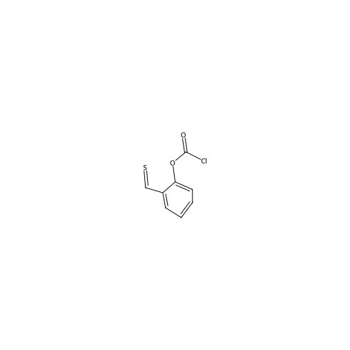 O=C(Cl)Oc1ccccc1C=S